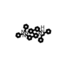 C1=C(c2ccccc2)N=C(c2cccc(-c3ccccc3-c3ccccc3-c3cccc(-c4nc(-c5ccccc5)nc(-c5ccccc5)n4)c3)c2)NC1c1ccccc1